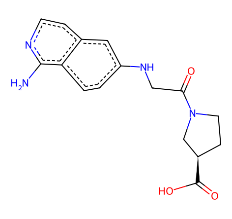 Nc1nccc2cc(NCC(=O)N3CC[C@@H](C(=O)O)C3)ccc12